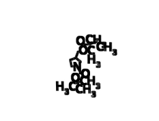 CCC(C)(C)C(=O)OCC1CCN(C(=O)OC(C)(C)C)C1